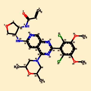 C=CC(=O)N[C@H]1COC[C@H]1Nc1cc2c(N3CC(C)OC(C)C3)nc(-c3c(Cl)c(OC)cc(OC)c3Cl)nc2cn1